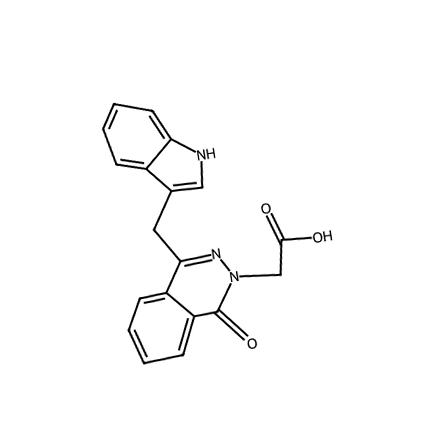 O=C(O)Cn1nc(Cc2c[nH]c3ccccc23)c2ccccc2c1=O